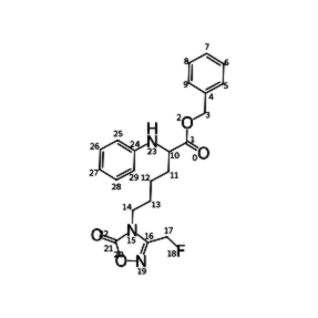 O=C(OCc1ccccc1)C(CCCCn1c(CF)noc1=O)Nc1ccccc1